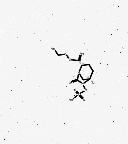 N=C(OCCO)[C@@H]1CC[C@@H]2CN1C(=O)N2OS(=O)(=O)O